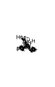 O=C(N[C@@H](CO)C(=O)O)c1cnc(N2CCc3ccccc32)nc1OCc1ccc(F)cc1